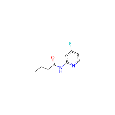 CCCC(=O)Nc1cc(F)ccn1